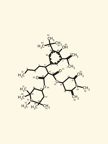 C=C(C)c1cc(C(CCCC)C(C(=O)OC2CC(=C)N(C)C(=C)C2)C(=O)OC2CC(C)(C)N(C)C(C)(C)C2)cc(C(C)(C)C)c1O